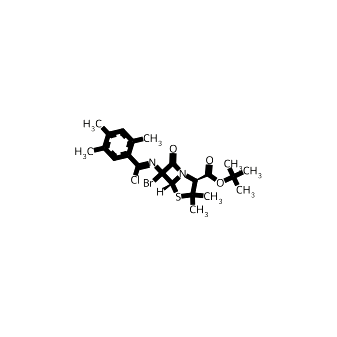 Cc1cc(C)c(/C(Cl)=N/C2(Br)C(=O)N3[C@@H](C(=O)OC(C)(C)C)C(C)(C)S[C@@H]32)cc1C